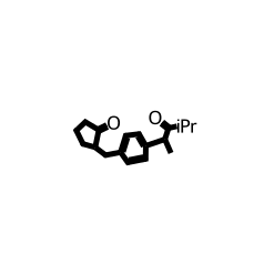 CC(C)C(=O)C(C)c1ccc(CC2CCCC2=O)cc1